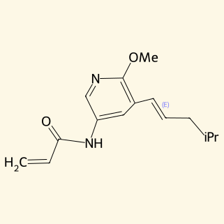 C=CC(=O)Nc1cnc(OC)c(/C=C/CC(C)C)c1